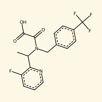 CC(c1ncccc1F)N(Cc1ccc(C(F)(F)F)cc1)C(=O)C(=O)O